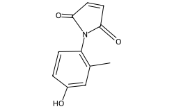 Cc1cc(O)ccc1N1C(=O)C=CC1=O